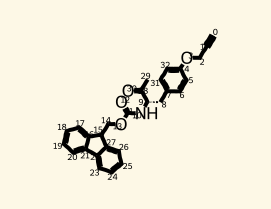 C#CCOc1ccc(C[C@H](NC(=O)OCC2c3ccccc3-c3ccccc32)C(C)=O)cc1